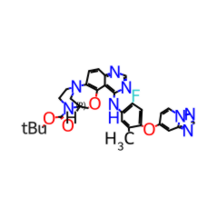 Cc1cc(Nc2ncnc3ccc4c(c23)OC[C@H]2CN4CCN2C(=O)OC(C)(C)C)c(F)cc1Oc1ccn2ncnc2c1